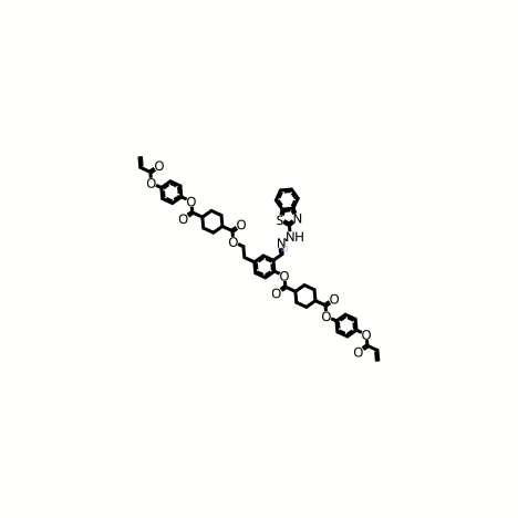 C=CC(=O)Oc1ccc(OC(=O)C2CCC(C(=O)OCCc3ccc(OC(=O)C4CCC(C(=O)Oc5ccc(OC(=O)C=C)cc5)CC4)c(/C=N/Nc4nc5ccccc5s4)c3)CC2)cc1